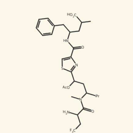 CC(=O)OC(CC(C(C)C)N(C)C(=O)C(N)CC(F)(F)F)c1nc(C(=O)NC(Cc2ccccc2)CC(C)C(=O)O)cs1